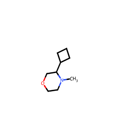 CN1CCOCC1C1CCC1